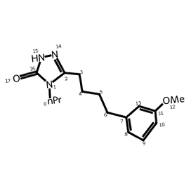 CCCn1c(CCCCc2cccc(OC)c2)n[nH]c1=O